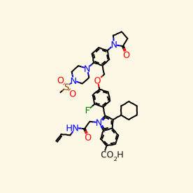 C=CCNC(=O)Cn1c(-c2ccc(OCc3cc(N4CCCC4=O)ccc3N3CCN(S(C)(=O)=O)CC3)cc2F)c(C2CCCCC2)c2ccc(C(=O)O)cc21